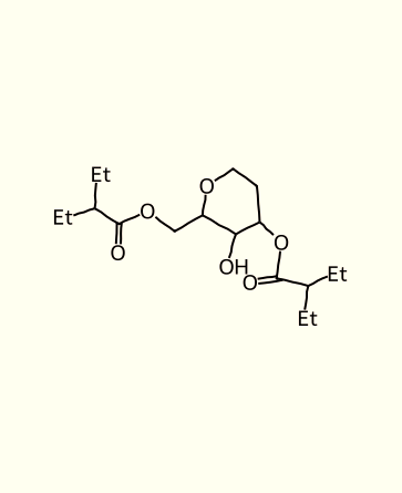 CCC(CC)C(=O)OCC1OCCC(OC(=O)C(CC)CC)C1O